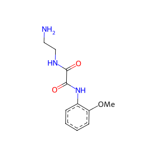 COc1ccccc1NC(=O)C(=O)NCCN